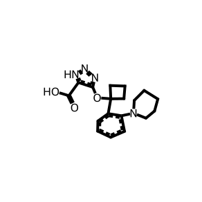 O=C(O)c1[nH]nnc1OC1(c2ccccc2N2CCCCC2)CCC1